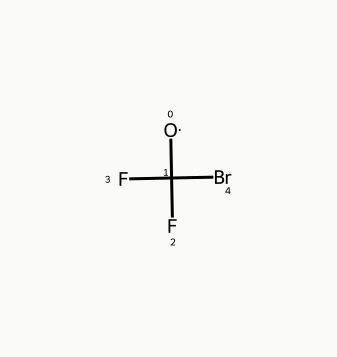 [O]C(F)(F)Br